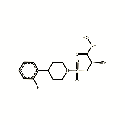 CC(C)[C@@H](CS(=O)(=O)N1CCC(c2ccccc2F)CC1)C(=O)NO